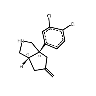 C=C1C[C@@H]2CNC[C@]2(c2ccc(Cl)c(Cl)c2)C1